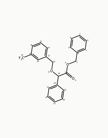 O=C(OCc1ccccc1)C(OCc1cccc(C(F)(F)F)c1)c1ccccc1